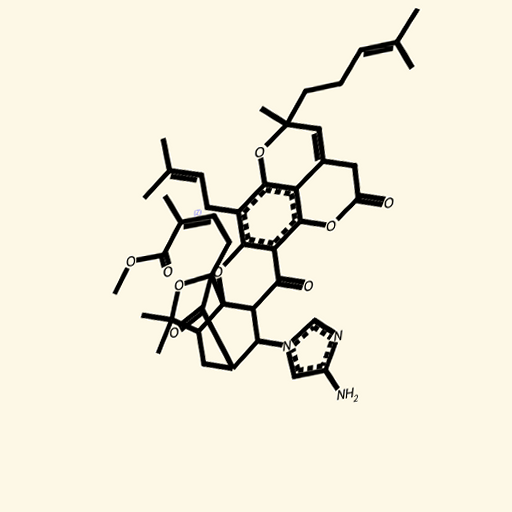 COC(=O)/C(C)=C\CC12OC(C)(C)C3CC(C1=O)C(n1cnc(N)c1)C1C(=O)c4c(c(CC=C(C)C)c5c6c4OC(=O)CC6=CC(C)(CCC=C(C)C)O5)OC132